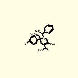 CCC1(c2ccc(F)cc2)CC(C(=O)O)=C(O)CN1C(C)c1ccccc1